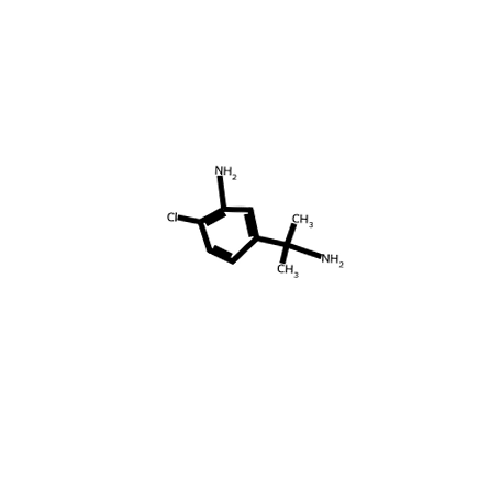 CC(C)(N)c1ccc(Cl)c(N)c1